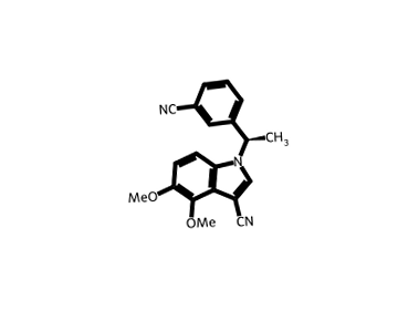 COc1ccc2c(c(C#N)cn2[C@H](C)c2cccc(C#N)c2)c1OC